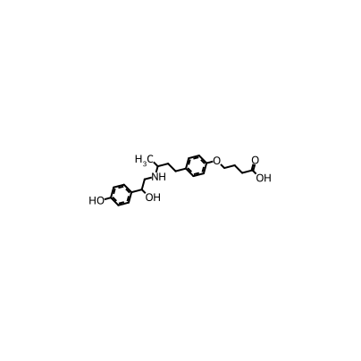 CC(CCc1ccc(OCCCC(=O)O)cc1)NCC(O)c1ccc(O)cc1